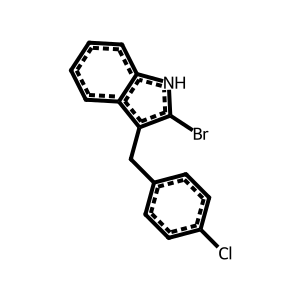 Clc1ccc(Cc2c(Br)[nH]c3ccccc23)cc1